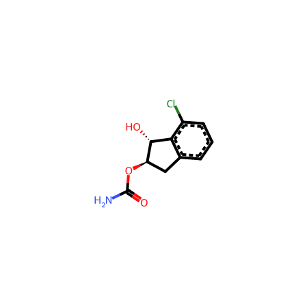 NC(=O)O[C@@H]1Cc2cccc(Cl)c2[C@H]1O